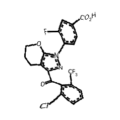 O=C(O)c1ccc(-n2nc(C(=O)c3c(Cl)cccc3C(F)(F)F)c3c2OCCC3)c(F)c1